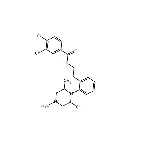 CC1CN(C)CC(C)N1c1ccccc1CCNC(=O)c1ccc(Cl)c(Cl)c1